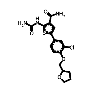 NC(=O)Nc1sc(-c2ccc(OCC3CCCO3)c(Cl)c2)cc1C(N)=O